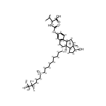 CC(C)C(NC(=O)Oc1ccc2c(c1)C[C@@H](CCCCCCCCC[S+]([O-])CCCC(F)(F)C(F)(F)F)[C@@H]1C2CC[C@]2(C)[C@@H](O)CC[C@@H]12)C(=O)O